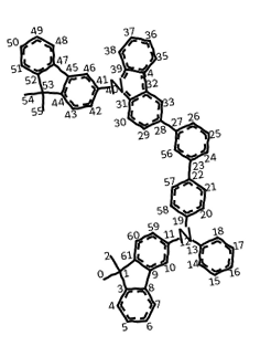 CC1(C)c2ccccc2-c2cc(N(c3ccccc3)c3ccc(-c4cccc(-c5ccc6c(c5)c5ccccc5n6-c5ccc6c(c5)-c5ccccc5C6(C)C)c4)cc3)ccc21